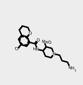 COC1CN(CCCN)CCC1NC(=O)c1cc(Cl)cc2c1OCCC2